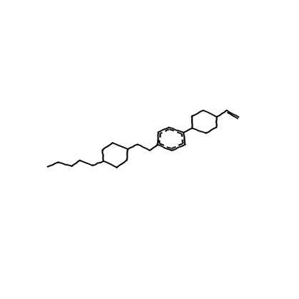 C=CC1CCC(c2ccc(CCC3CCC(CCCCC)CC3)cc2)CC1